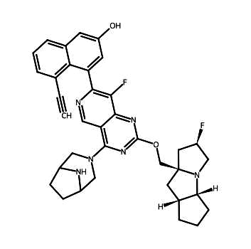 C#Cc1cccc2cc(O)cc(-c3ncc4c(N5CC6CCC(C5)N6)nc(OC[C@@]56C[C@@H](F)CN5[C@@H]5CCC[C@@H]5C6)nc4c3F)c12